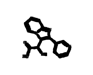 O=C(O)C(O)c1c(-c2cccnc2)nc2ccccn12